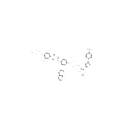 CC1(C)CCC(CN2CCN(c3ccc(C(=O)NS(=O)(=O)c4ccc(NCC5COCCO5)c([N+](=O)[O-])c4)c(Oc4cnc5[nH]ccc5c4)c3)CC2)=C(c2cc(-c3c(F)cc(C(C)(C)O)cc3F)cs2)C1